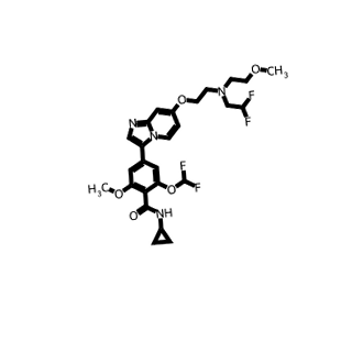 COCCN(CCOc1ccn2c(-c3cc(OC)c(C(=O)NC4CC4)c(OC(F)F)c3)cnc2c1)CC(F)F